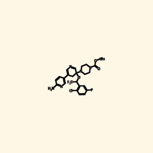 CC(C)(C)OC(=O)N1CCN(C2(OC(c3cc(F)ccc3Cl)C(F)(F)F)C=NC=C(c3ccc(N)nc3)C2)CC1